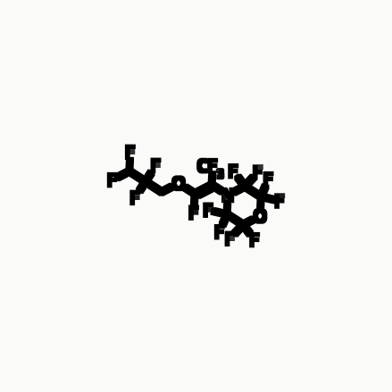 F/C(OCC(F)(F)C(F)F)=C(\N1C(F)(F)C(F)(F)OC(F)(F)C1(F)F)C(F)(F)F